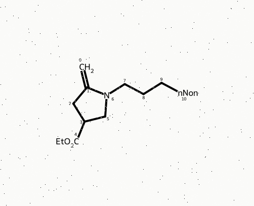 C=C1CC(C(=O)OCC)CN1CCCCCCCCCCCC